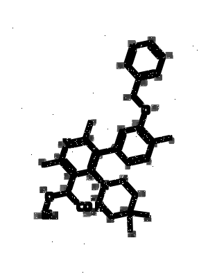 Cc1ccc(-c2c(C)nc(C)c(C(OC(C)(C)C)C(=O)O)c2N2CCC(C)(C)CC2)cc1OCc1ccccc1